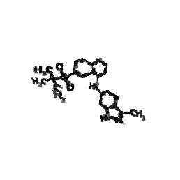 Cc1n[nH]c2cc(Nc3ccnc4ccc(S(=O)(=O)C(C)(C)C)cc34)ccc12